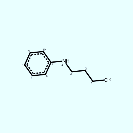 ClCCCNc1ccccc1